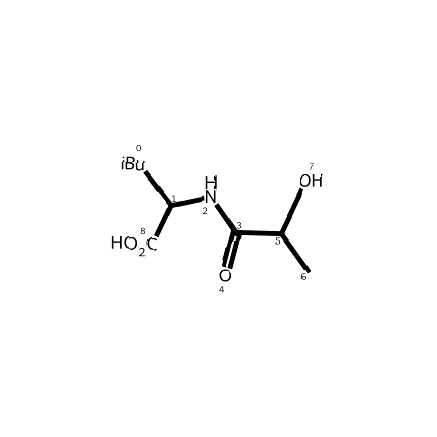 CCC(C)C(NC(=O)C(C)O)C(=O)O